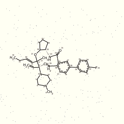 C=C[C@](C)(N1CCN(C)CC1)C(C)(C=CCC)OC1CCC[C@@H]1NC(=O)c1cc(-c2ccc(F)cc2)cnc1N